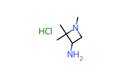 CN1CC(N)C1(C)C.Cl